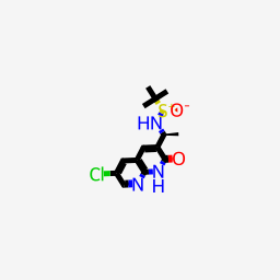 C[C@H](N[S@+]([O-])C(C)(C)C)c1cc2cc(Cl)cnc2[nH]c1=O